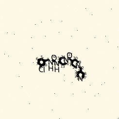 O=C(NCc1cccc(Cl)c1)NC1CCN(C(=O)C2CCN(Cc3ccncc3)CC2)CC1